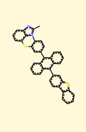 Cc1nc2cccc3c2n1-c1ccc(-c2c4ccccc4c(-c4ccc5c(c4)sc4ccccc45)c4ccccc24)cc1S3